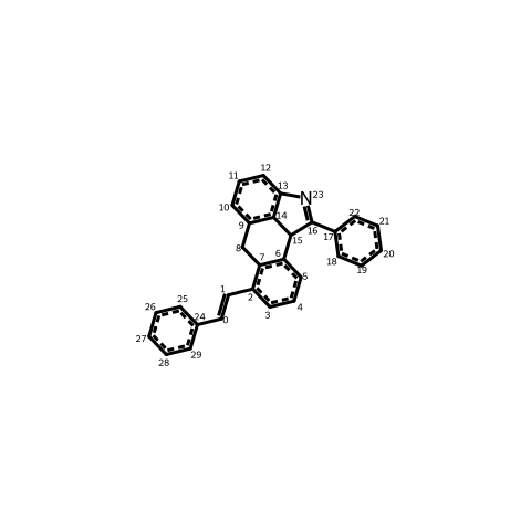 C(=C\c1cccc2c1Cc1cccc3c1C2C(c1ccccc1)=N3)/c1ccccc1